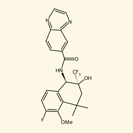 COc1c(F)ccc2c1C(C)(C)C[C@@](O)(C(F)(F)F)[C@@H]2NC(=O)c1ccc2nccnc2c1